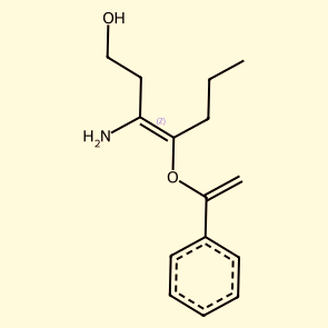 C=C(O/C(CCC)=C(\N)CCO)c1ccccc1